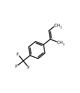 [CH2]C=C(C)c1ccc(C(F)(F)F)cc1